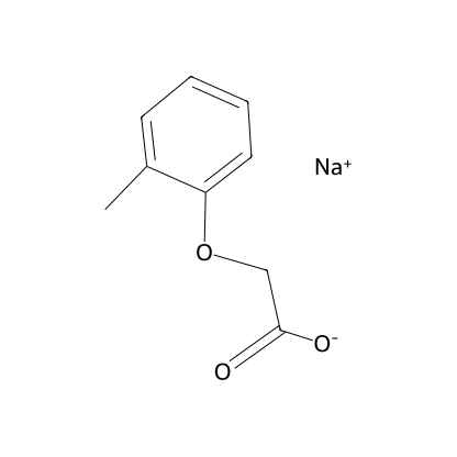 Cc1ccccc1OCC(=O)[O-].[Na+]